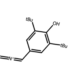 CC(C)(C)c1cc(C=[N+]=[N-])cc(C(C)(C)C)c1O